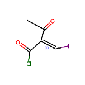 CC(=O)/C(=C\I)C(=O)Cl